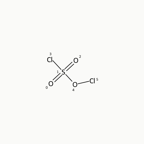 O=S(=O)(Cl)OCl